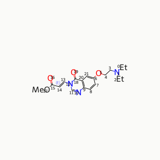 CCN(CC)CCOc1ccc2ncn(/C=C/C(=O)OC)c(=O)c2c1